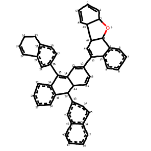 C1=CC2OC3c4ccccc4C(C4=CC5=C(c6ccc7c(c6)C=CCC7)c6ccccc6C(c6ccc7ccccc7c6)C5C=C4)=CC3C2C=C1